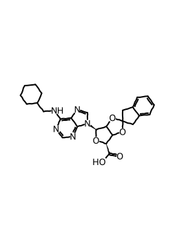 O=C(O)[C@H]1O[C@@H](n2cnc3c(NCC4CCCCC4)ncnc32)C2OC3(Cc4ccccc4C3)OC21